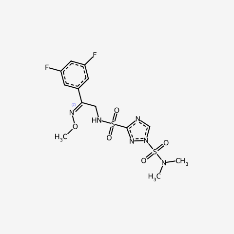 CO/N=C(\CNS(=O)(=O)c1ncn(S(=O)(=O)N(C)C)n1)c1cc(F)cc(F)c1